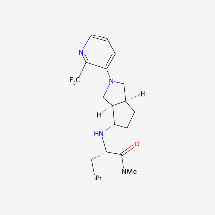 CNC(=O)[C@H](CC(C)C)N[C@H]1CC[C@@H]2CN(c3cccnc3C(F)(F)F)C[C@@H]21